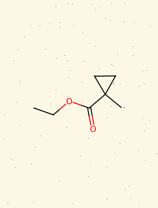 [CH2]C1(C(=O)OCC)CC1